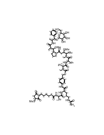 CCC(C)C(C(CC(=O)N1CCCC1C(OC)C(C)C(=O)NC(C)C(OC1OC(CO)C(O)C(O)C1O)c1ccccc1)OC)N(C)C(=O)C(NC(=O)C(C(C)C)N(C)C(=O)OCc1ccc(NC(=O)C(CCCNC(N)=O)NC(=O)C(NC(=O)CCCCCN2C(=O)CC(SC)C2=O)C(C)C)cc1)C(C)C